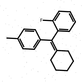 Cc1ccc(C(=C2CCCCC2)c2ccccc2F)cc1